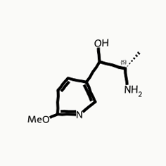 COc1ccc(C(O)[C@H](C)N)cn1